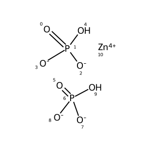 O=P([O-])([O-])O.O=P([O-])([O-])O.[Zn+4]